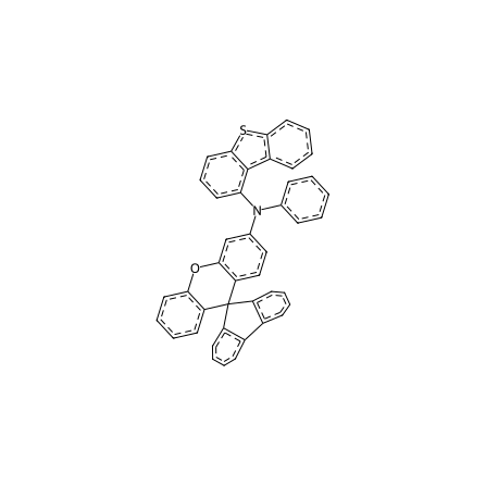 c1ccc(N(c2ccc3c(c2)Oc2ccccc2C32c3ccccc3-c3ccccc32)c2cccc3sc4ccccc4c23)cc1